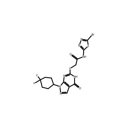 O=C(CSc1nc2c(cnn2C2CCC(F)(F)CC2)c(=O)[nH]1)Nc1nnc(Br)s1